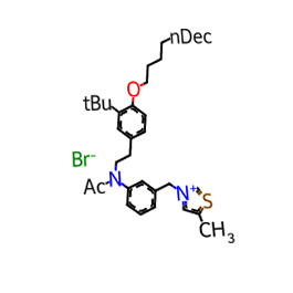 CCCCCCCCCCCCCCOc1ccc(CCN(C(C)=O)c2cccc(C[n+]3csc(C)c3)c2)cc1C(C)(C)C.[Br-]